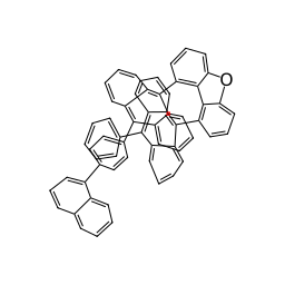 c1ccc(-c2c3ccccc3c(-c3cccc4oc5cccc(-c6c7ccccc7c(-c7ccc(-c8cccc9ccccc89)cc7)c7ccccc67)c5c34)c3ccccc23)cc1